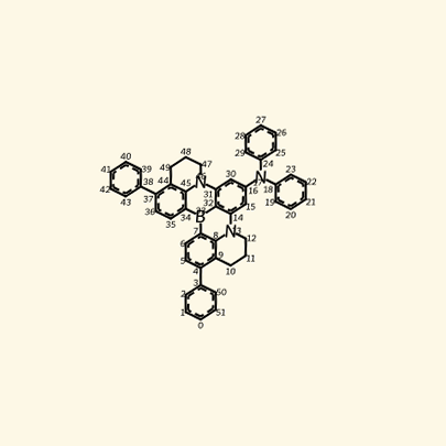 c1ccc(-c2ccc3c4c2CCCN4c2cc(N(c4ccccc4)c4ccccc4)cc4c2B3c2ccc(-c3ccccc3)c3c2N4CCC3)cc1